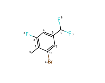 Cc1c(F)cc(C(F)F)cc1Br